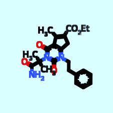 CCOC(=O)C1=C(C)c2c(n(CCc3ccccc3)c(=O)n(C(C)(C)C(N)=O)c2=O)C1